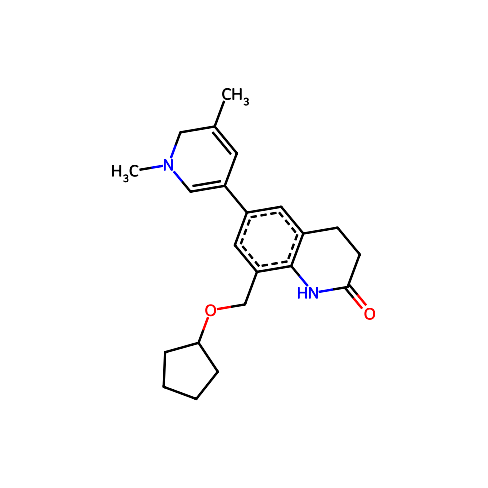 CC1=CC(c2cc3c(c(COC4CCCC4)c2)NC(=O)CC3)=CN(C)C1